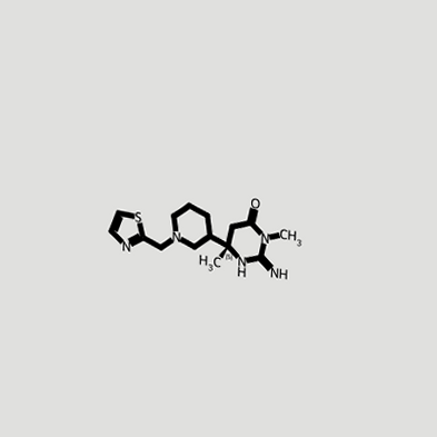 CN1C(=N)N[C@](C)(C2CCCN(Cc3nccs3)C2)CC1=O